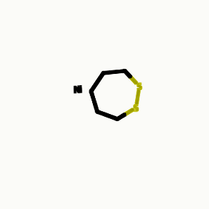 C1CCSSCC1.[Ni]